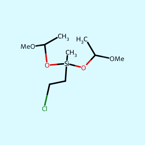 COC(C)O[Si](C)(CCCl)OC(C)OC